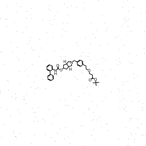 CC(C)(C)OC(=O)CCOCCc1ccc(CN2C[C@H]3CC(OC(=O)Nc4ccccc4-c4ccccc4)C[C@H]3C2)cc1